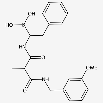 COc1cccc(CNC(=O)C(C)C(=O)NC(Cc2ccccc2)B(O)O)c1